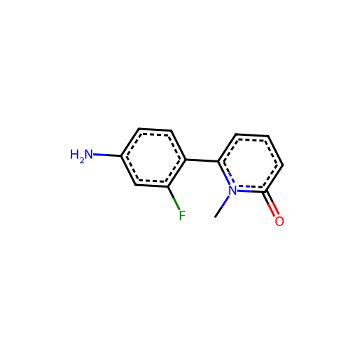 Cn1c(-c2ccc(N)cc2F)cccc1=O